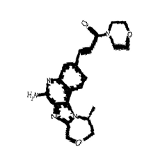 C[C@H]1COCc2nc3c(N)nc4cc(/C=C/C(=O)N5CCOCC5)ccc4c3n21